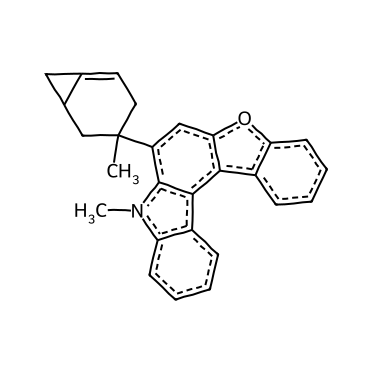 Cn1c2ccccc2c2c3c(cc(C4(C)CC=C5CC5C4)c21)oc1ccccc13